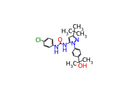 CC(C)(C)c1cc(NC(=O)Nc2ccc(Cl)cc2)n(-c2ccc(C(C)(C)O)cc2)n1